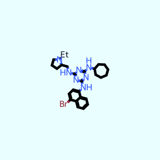 CCN1CCCC1CNc1nc(Nc2ccc(Br)c3ccccc23)nc(NC2CCCCCC2)n1